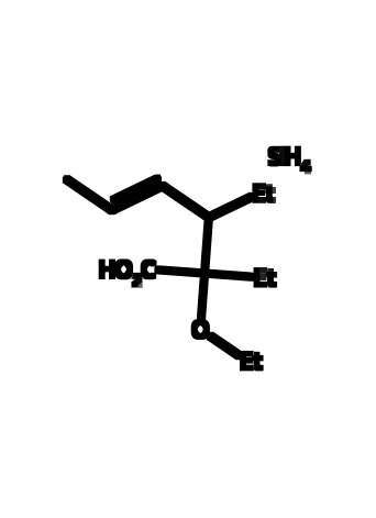 CC=CC(CC)C(CC)(OCC)C(=O)O.[SiH4]